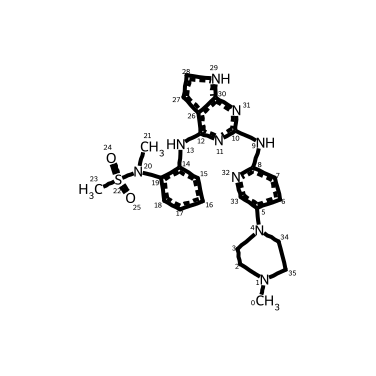 CN1CCN(c2ccc(Nc3nc(Nc4ccccc4N(C)S(C)(=O)=O)c4cc[nH]c4n3)nc2)CC1